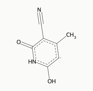 Cc1[c]c(O)[nH]c(=O)c1C#N